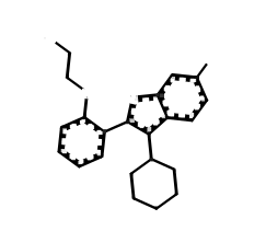 Cc1ccc2c(C3CCCCC3)c(-c3ccccc3SCCO)[nH]c2c1